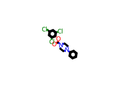 O=C(Oc1c(Cl)cc(Cl)cc1Cl)N1CCN(c2ccccc2)CC1